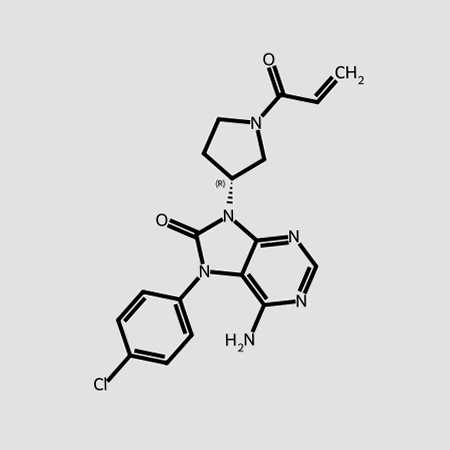 C=CC(=O)N1CC[C@@H](n2c(=O)n(-c3ccc(Cl)cc3)c3c(N)ncnc32)C1